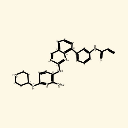 C=CC(=O)Nc1cccc(-c2cccc3cnc(Nc4ccc(NC5CCNCC5)nc4OC)nc23)c1